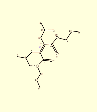 CCCOC(=O)/C(CC(C)C)=C(/CC(C)C)C(=O)OCCC